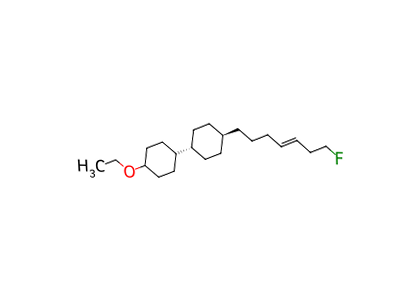 CCOC1CCC([C@H]2CC[C@H](CCC/C=C/CCF)CC2)CC1